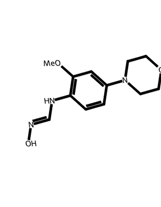 COc1cc(N2CCOCC2)ccc1N/C=N/O